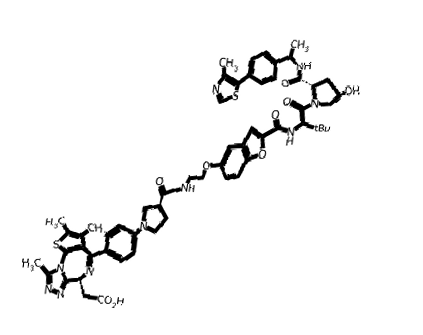 Cc1ncsc1-c1ccc(C(C)NC(=O)[C@@H]2C[C@@H](O)CN2C(=O)C(NC(=O)c2cc3cc(OCCNC(=O)[C@H]4CCN(c5ccc(C6=N[C@@H](CC(=O)O)c7nnc(C)n7-c7sc(C)c(C)c76)cc5)C4)ccc3o2)C(C)(C)C)cc1